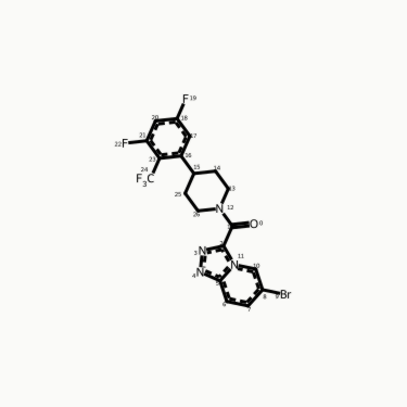 O=C(c1nnc2ccc(Br)cn12)N1CCC(c2cc(F)cc(F)c2C(F)(F)F)CC1